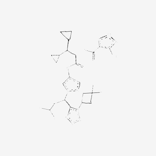 Cc1nonc1C(=O)N[C@H](C(=O)Nc1cnn(C(CC(F)F)c2nnnn2C2CC(F)(F)C2)c1)C(C1CC1)C1CC1